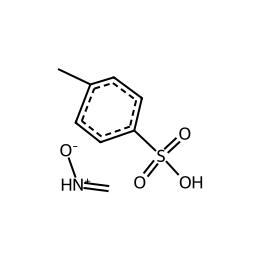 C=[NH+][O-].Cc1ccc(S(=O)(=O)O)cc1